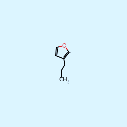 CCCc1[c]occ1